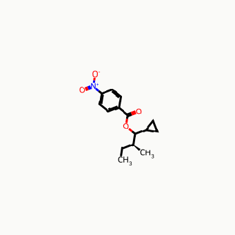 CC[C@H](C)C(OC(=O)c1ccc([N+](=O)[O-])cc1)C1CC1